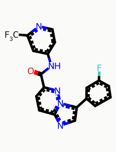 O=C(Nc1ccnc(C(F)(F)F)c1)c1ccc2ncc(-c3cccc(F)c3)n2n1